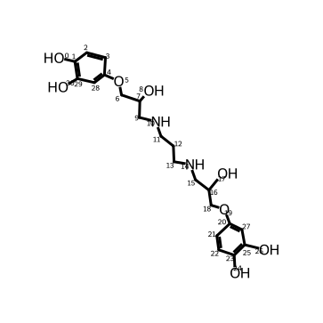 Oc1ccc(OCC(O)CNCCCNCC(O)COc2ccc(O)c(O)c2)cc1O